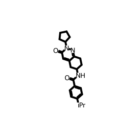 CC(C)c1ccc(C(=O)NC2CCc3nn(C4CCCC4)c(=O)cc3C2)cc1